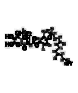 CCC(C)(C)OC1C(C(=O)NCC(=O)Oc2cc3c(c(C)c2C)OC(C)(CCCC(C)CCCC(C)CCCC(C)C)CC3)OC(O)C(O)C1O